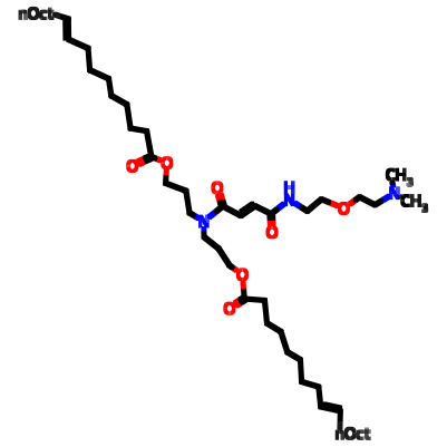 CCCCCCCC/C=C/CCCCCCCC(=O)OCCCN(CCCOC(=O)CCCCCCC/C=C/CCCCCCCC)C(=O)C=CC(=O)NCCOCCN(C)C